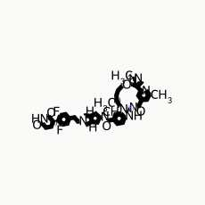 Cc1cc2cc(n1)-c1cnn(C)c1OCCC[C@@H](C)CN1/C(=N/C2=O)Nc2ccc(C(=O)N(C)C3C[C@@H]4CN(CCc5cc(F)c([C@H]6CCC(=O)NC6=O)c(F)c5)C[C@@H]4C3)cc21